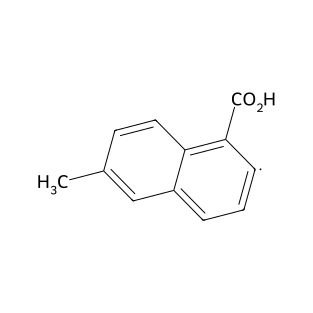 Cc1ccc2c(C(=O)O)[c]ccc2c1